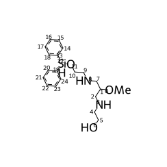 COC(CNCCO)CNCCO[SiH](c1ccccc1)c1ccccc1